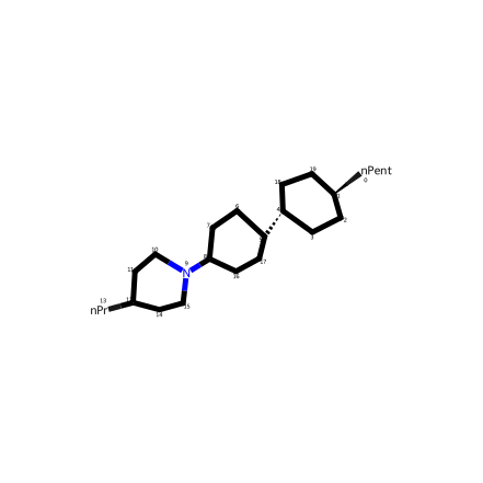 CCCCC[C@H]1CC[C@H](C2CCC(N3CCC(CCC)CC3)CC2)CC1